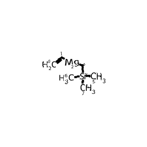 C=[CH][Mg][CH2][Si](C)(C)C